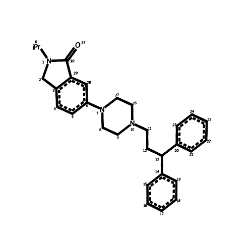 CC(C)N1Cc2ccc(N3CCN(CCC(c4ccccc4)c4ccccc4)CC3)cc2C1=O